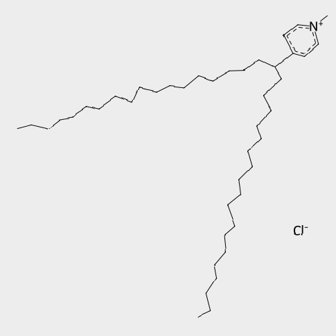 CCCCCCCCCCCCCCCCCCC(CCCCCCCCCCCCCCCCCC)c1cc[n+](C)cc1.[Cl-]